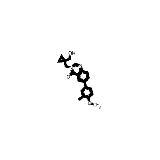 Cc1cc(-c2ccc3ncn(CC4(CO)CC4)c(=O)c3c2)ccc1OC(F)(F)F